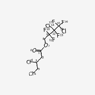 O=C(CC(Cl)CCl)OCC(F)(F)C(F)(Cl)C(F)(F)Cl